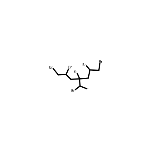 [CH2]C(Br)C(Br)(CC(Br)CBr)CC(Br)CBr